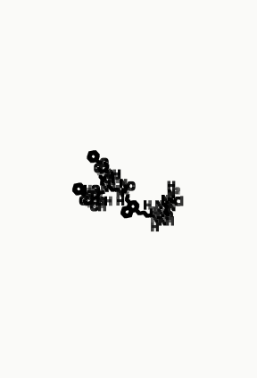 N=C(NCCCCc1ccc(CC[C@H](NCCCN(C[C@H](O)C[C@@H]2OC(c3ccccc3)OC[C@H]2O)C[C@H](O)[C@@H](O)[C@@H]2OC(c3ccccc3)OC[C@H]2O)C(N)=O)c2ccccc12)NC(=O)c1nc(Cl)c(N)nc1N